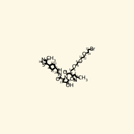 Cc1cc([C@H](CCOCCOCCOCCBr)C(=O)N2C[C@@H](O)C[C@H]2C(=O)NCCc2ccc(-c3scnc3C)cc2)on1